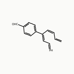 C=C/C=C\C(=C/C=P)c1ccc(C=O)cc1